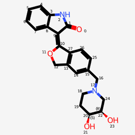 O=C1Nc2ccccc2C1=C1OCc2cc(CN3CC[C@H](O)[C@H](O)C3)ccc21